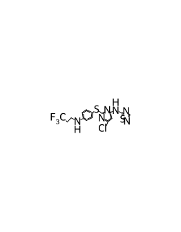 FC(F)(F)CCNc1ccc(Sc2nc(Cl)cc(Nc3ncns3)n2)cc1